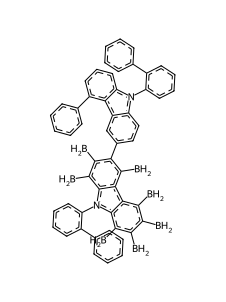 Bc1c(B)c(B)c2c(c1B)c1c(B)c(-c3ccc4c(c3)c3c(-c5ccccc5)cccc3n4-c3ccccc3-c3ccccc3)c(B)c(B)c1n2-c1ccccc1-c1ccccc1